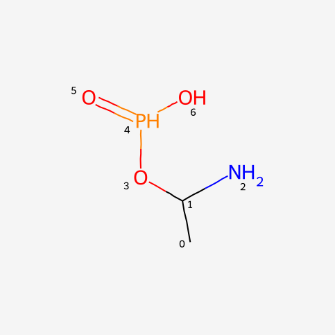 CC(N)O[PH](=O)O